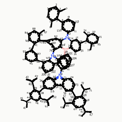 Cc1cccc(C)c1-c1cccc(N2c3cc(-c4c(C)cccc4C)ccc3B3c4ccc(-n5c6ccc(-c7c(C(C)C)cc(C(C)C)cc7C(C)C)cc6c6cc(-c7c(C(C)C)cc(C(C)C)cc7C(C)C)ccc65)cc4N4c5cc(cc2c53)-c2c(C)cccc2-c2cccc(c2)-c2cccc(-c3ccccc3)c24)c1